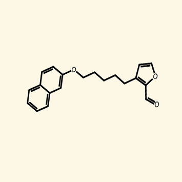 O=Cc1occc1CCCCCOc1ccc2ccccc2c1